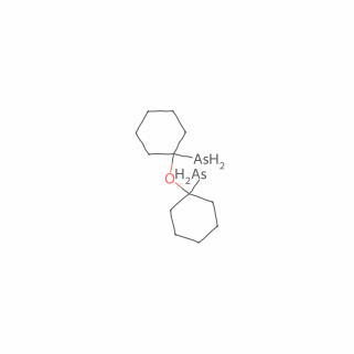 [AsH2]C1(OC2([AsH2])CCCCC2)CCCCC1